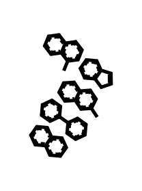 C1=Cc2ccccc2C1.Cc1ccc2ccccc2c1.Cc1cccc2ccccc12.c1ccc(-c2ccccc2)cc1.c1ccc2ccccc2c1